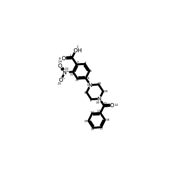 O=C(O)c1ccc(N2CCN(C(=O)c3ccccc3)CC2)cc1[N+](=O)[O-]